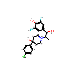 CC(C(O)c1cc(F)c(O)c(F)c1)N1CCC(O)(c2ccc(Cl)cc2)CC1